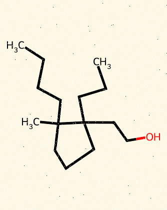 CCCCC1(C)CCCC1(CCC)CCO